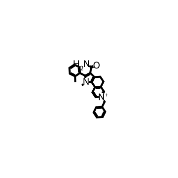 Cc1ccccc1-c1c(C(N)=O)c2c(n1C)-c1cc[n+](Cc3ccccc3)cc1CC2